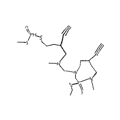 C#CC(CS[PH](=O)SC)CN(C)CN1CC(C#C)CN(C)P1(=S)SC